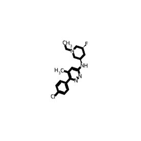 CCN1C[C@H](F)C[C@@H](Nc2cc(C)c(-c3ccc(Cl)cc3)nn2)C1